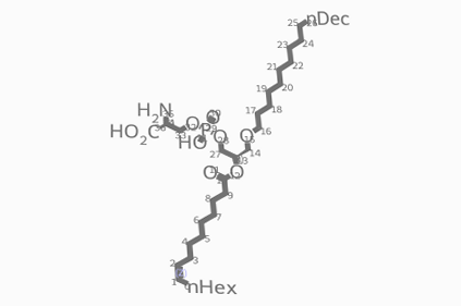 CCCCCC/C=C\CCCCCCCC(=O)O[C@H](COCCCCCCCCCCCCCCCCCCCC)COP(=O)(O)OC[C@H](N)C(=O)O